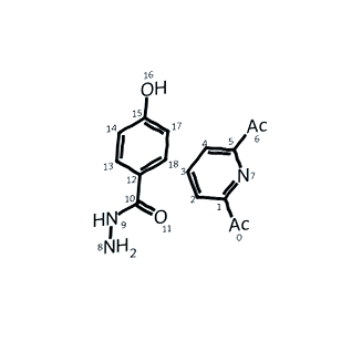 CC(=O)c1cccc(C(C)=O)n1.NNC(=O)c1ccc(O)cc1